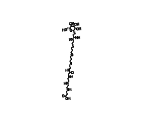 N=C(CSC1O[C@H](CO)[C@@H](O)[C@H](O)[C@@H]1O)NCCSCCCOCCCSCCNC(=O)CNCCNCCNCCC(=O)O